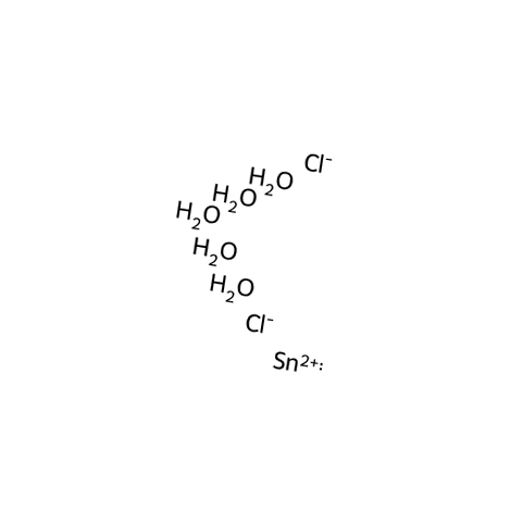 O.O.O.O.O.[Cl-].[Cl-].[Sn+2]